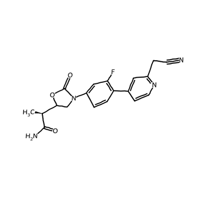 C[C@H](C(N)=O)C1CN(c2ccc(-c3ccnc(CC#N)c3)c(F)c2)C(=O)O1